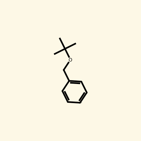 CC(C)(C)OCc1cc[c]cc1